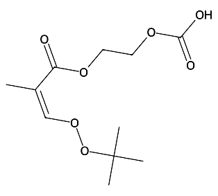 CC(=COOC(C)(C)C)C(=O)OCCOC(=O)O